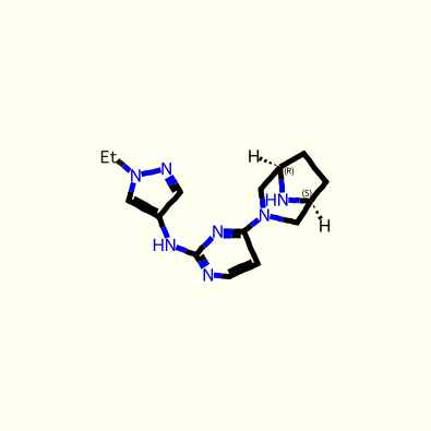 CCn1cc(Nc2nccc(N3C[C@H]4CC[C@@H](C3)N4)n2)cn1